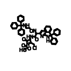 O=C(NC1C(=O)N(S(=O)(=O)O)C1CCl)/C(=N\OCCNC(c1ccccc1)(c1ccccc1)c1ccccc1)c1csc(NC(c2ccccc2)(c2ccccc2)c2ccccc2)n1